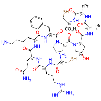 CCC[C@H](NC(=O)[C@@H](NC(=O)[C@@H]1C[C@@H](O)CN1C(=O)[C@@H]1CCCN1C(=O)[C@H](Cc1ccccc1)NC(=O)[C@H](CCCCN)NC(=O)[C@H](CCC(N)=O)NC(=O)[C@H](CCCNC(=N)N)NC(=O)[C@@H](N)CS)[C@@H](C)CC)C(=O)N[C@@H](CS)C(=O)O